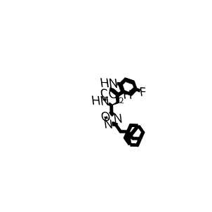 O=C(O)N[C@@H](Cc1c[nH]c2ccc(F)cc12)c1nc(CC23CC4CC(CC(C4)C2)C3)no1